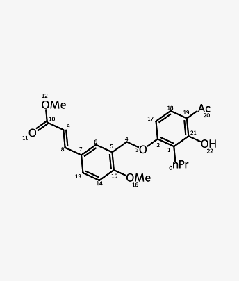 CCCc1c(OCc2cc(C=CC(=O)OC)ccc2OC)ccc(C(C)=O)c1O